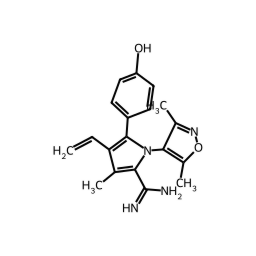 C=Cc1c(C)c(C(=N)N)n(-c2c(C)noc2C)c1-c1ccc(O)cc1